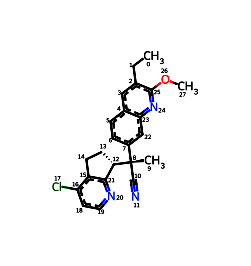 CCc1cc2ccc([C@](C)(C#N)[C@H]3CCc4c(Cl)ccnc43)cc2nc1OC